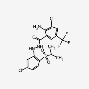 CC(C)S(=O)(=O)c1ccc(Cl)cc1NNC(=O)c1cc(C(F)(F)F)cc(Cl)c1N